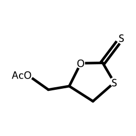 CC(=O)OCC1CSC(=S)O1